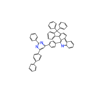 c1ccc(-c2ccc(-c3cc(-c4ccc(-c5nc6ccccc6c6ccc7c(c56)-c5ccccc5C7(c5ccccc5)c5ccccc5)cc4)nc(-c4ccccc4)n3)cc2)cc1